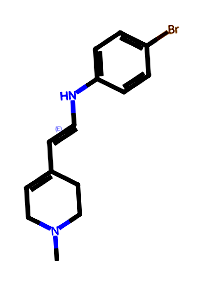 CN1CC=C(/C=C/Nc2ccc(Br)cc2)CC1